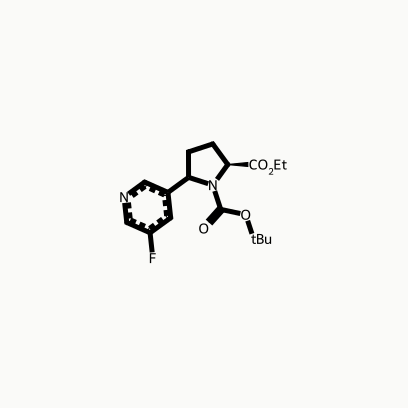 CCOC(=O)[C@@H]1CCC(c2cncc(F)c2)N1C(=O)OC(C)(C)C